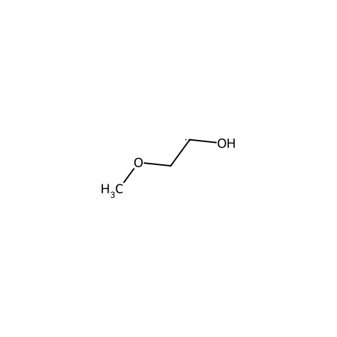 COC[CH]O